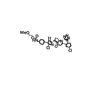 COCCOC(=O)Nc1ccc(-c2[nH]c([C@@H]3CCc4nc(-c5cc(Cl)ccc5-n5cnnn5)cc(=O)n43)nc2Cl)cc1